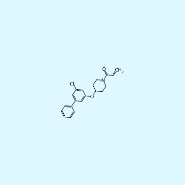 C=CC(=O)N1CCC(Oc2cc(Cl)cc(-c3ccccc3)c2)CC1